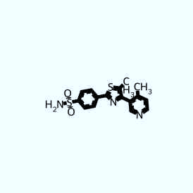 Cc1ccncc1-c1nc(-c2ccc(S(N)(=O)=O)cc2)sc1C